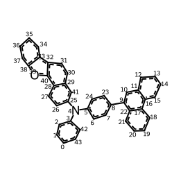 c1ccc(N(c2ccc(-c3cc4ccccc4c4ccccc34)cc2)c2ccc3c(ccc4c5ccccc5oc34)c2)cc1